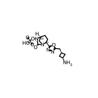 N[C@H]1C[C@@H](Cc2nnc([C@@H]3CC[C@H]4CN3C(=O)N4OS(=O)(=O)O)o2)C1